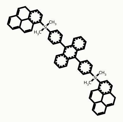 C[Si](C)(c1ccc(-c2c3ccccc3c(-c3ccc([Si](C)(C)c4ccc5c6c4C=CC4=CC=CC(=CC5)C46)cc3)c3ccccc23)cc1)c1ccc2c3c1C=CC1=CC=CC(=CC2)C13